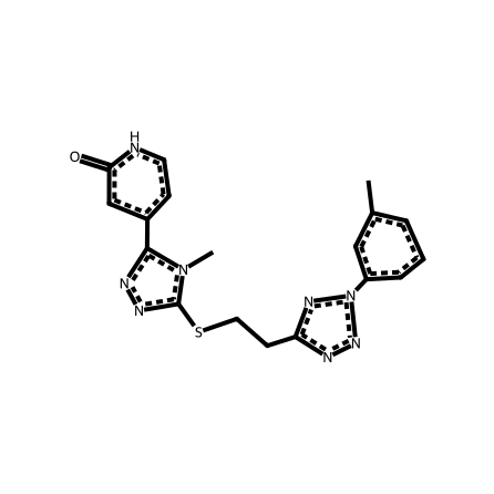 Cc1cccc(-n2nnc(CCSc3nnc(-c4cc[nH]c(=O)c4)n3C)n2)c1